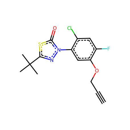 C#CCOc1cc(-n2nc(C(C)(C)C)sc2=O)c(Cl)cc1F